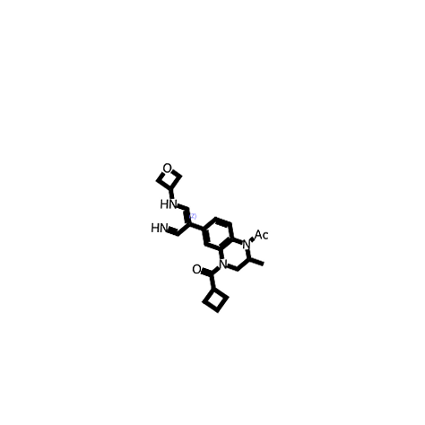 CC(=O)N1c2ccc(/C(C=N)=C/NC3COC3)cc2N(C(=O)C2CCC2)CC1C